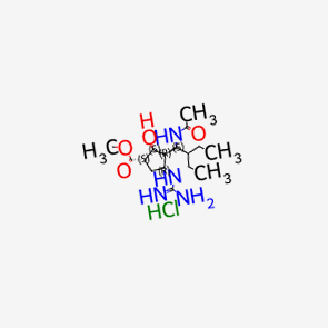 CCC(CC)[C@H](NC(C)=O)[C@@H]1[C@H](O)[C@@H](C(=O)OC)C[C@H]1NC(=N)N.Cl